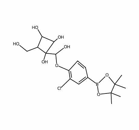 CC1(C)OB(c2ccc(OC(O)C3(O)C(O)C(O)C3CO)c(Cl)c2)OC1(C)C